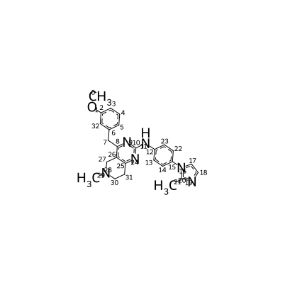 COc1cccc(Cc2nc(Nc3ccc(-n4ccnc4C)cc3)nc3c2CN(C)CC3)c1